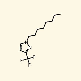 CCCCCCCCn1ccc(C(F)(F)F)n1